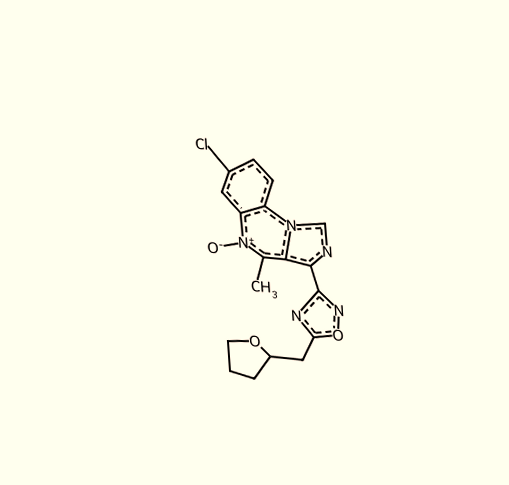 Cc1c2c(-c3noc(CC4CCCO4)n3)ncn2c2ccc(Cl)cc2[n+]1[O-]